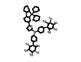 [2H]c1c([2H])c([2H])c(-c2ccc(N(c3ccc(-c4c([2H])c([2H])c([2H])c([2H])c4[2H])cc3)c3ccc(-c4ccc5c(c4)C(c4ccccc4)(c4ccccc4)c4ccccc4-5)s3)cc2)c([2H])c1[2H]